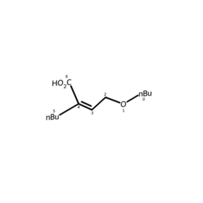 CCCCOCC=C(CCCC)C(=O)O